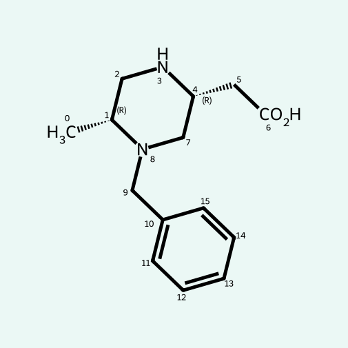 C[C@@H]1CN[C@H](CC(=O)O)CN1Cc1ccccc1